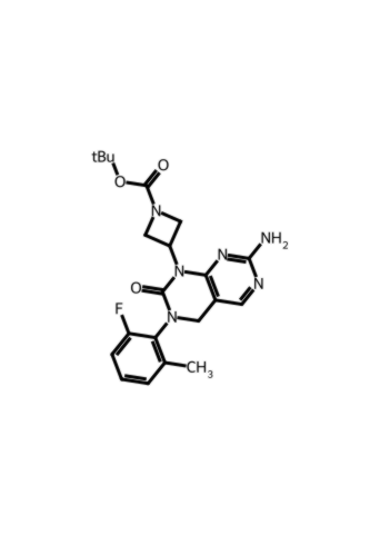 Cc1cccc(F)c1N1Cc2cnc(N)nc2N(C2CN(C(=O)OC(C)(C)C)C2)C1=O